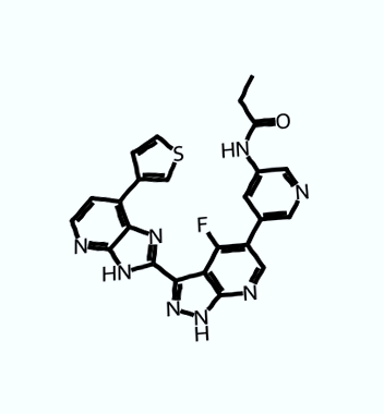 CCC(=O)Nc1cncc(-c2cnc3[nH]nc(-c4nc5c(-c6ccsc6)ccnc5[nH]4)c3c2F)c1